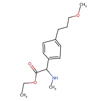 CCOC(=O)C(NC)c1ccc(CCCOC)cc1